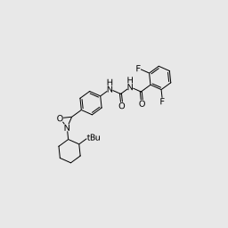 CC(C)(C)C1CCCCC1N1OC1c1ccc(NC(=O)NC(=O)c2c(F)cccc2F)cc1